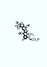 CC[C@@]1(O)C(=C=O)OCC2=C1C=C1C3=C(CN1C2=C=O)N(C)c1c(OCC(=O)O)cc(F)cc1C3=C=O